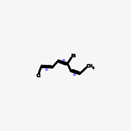 C\C=C/C(=C\C=C\Cl)CC